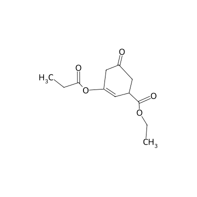 CCOC(=O)C1C=C(OC(=O)CC)CC(=O)C1